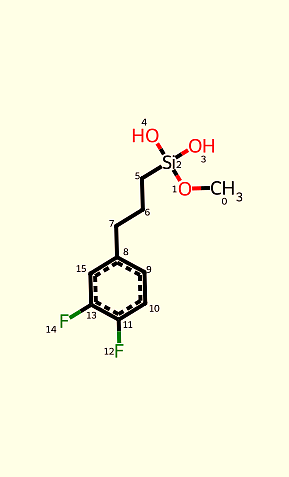 CO[Si](O)(O)CCCc1ccc(F)c(F)c1